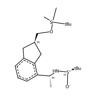 C[C@@H](N[S@+]([O-])C(C)(C)C)c1cccc2c1C[C@H](CO[Si](C)(C)C(C)(C)C)C2